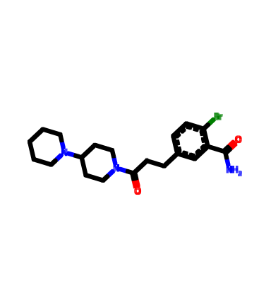 NC(=O)c1cc(C[CH]C(=O)N2CCC(N3CCCCC3)CC2)ccc1Br